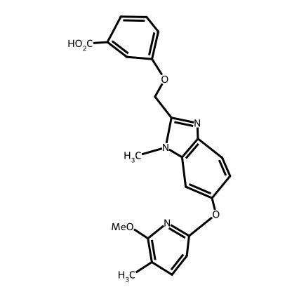 COc1nc(Oc2ccc3nc(COc4cccc(C(=O)O)c4)n(C)c3c2)ccc1C